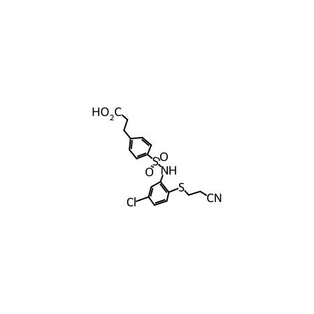 N#CCCSc1ccc(Cl)cc1NS(=O)(=O)c1ccc(CCC(=O)O)cc1